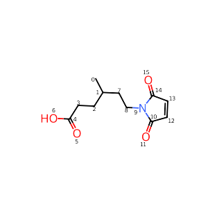 CC(CCC(=O)O)CCN1C(=O)C=CC1=O